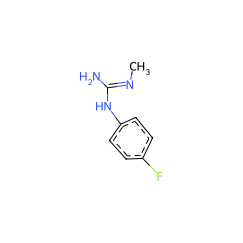 CN=C(N)Nc1ccc(F)cc1